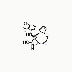 COc1c(Cl)cccc1Nc1c2[nH]c3c1C(O)NCC3C/C=C\COc1cnccc1-2